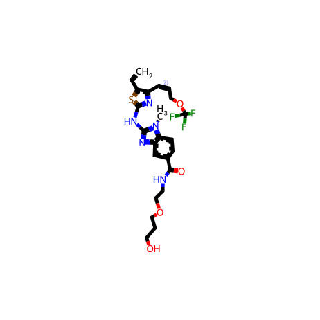 C=Cc1sc(Nc2nc3cc(C(=O)NCCOCCCO)ccc3n2C)nc1/C=C\COC(F)(F)F